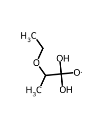 CCOC(C)C([O])(O)O